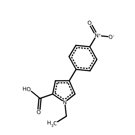 CCn1cc(-c2ccc([N+](=O)[O-])cc2)cc1C(=O)O